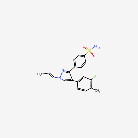 CC=Cn1cc(-c2ccc(C)c(F)c2)c(-c2ccc(S(N)(=O)=O)cc2)n1